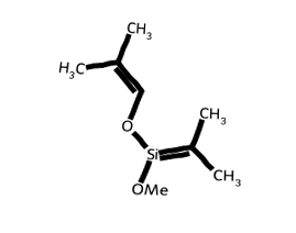 CO[Si](OC=C(C)C)=C(C)C